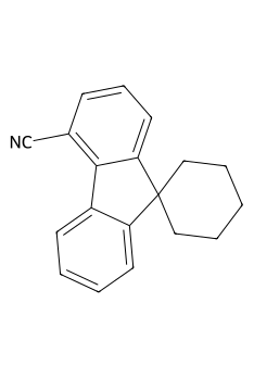 N#Cc1cccc2c1-c1ccccc1C21CCCCC1